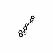 O=C(c1ccc(OCCCN2CC3CCCC3C2)cc1)N1CCCc2ccccc21